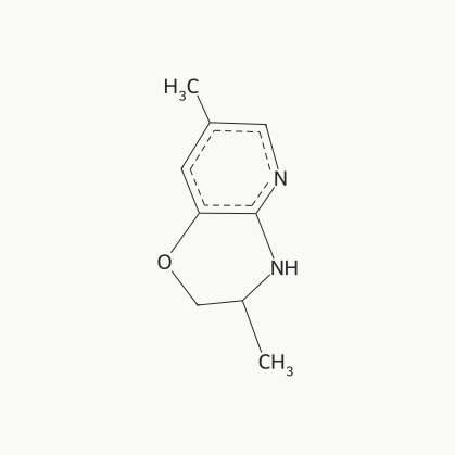 Cc1cnc2c(c1)OCC(C)N2